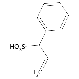 C=CC(c1ccccc1)S(=O)(=O)O